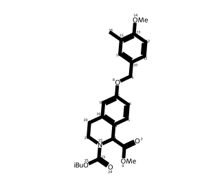 COC(=O)C1c2ccc(OCc3ccc(OC)c(C)c3)cc2CCN1C(=O)OCC(C)C